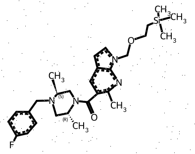 Cc1nc2c(ccn2COCC[Si](C)(C)C)cc1C(=O)N1C[C@H](C)N(Cc2ccc(F)cc2)C[C@H]1C